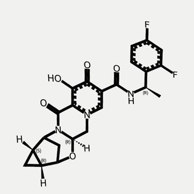 C[C@@H](NC(=O)c1cn2c(c(O)c1=O)C(=O)N1C3CC(O[C@@H]1C2)[C@@H]1C[C@H]31)c1ccc(F)cc1F